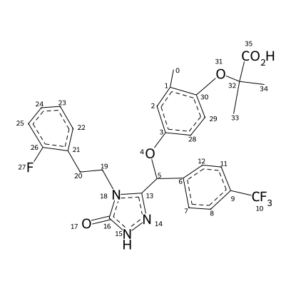 Cc1cc(OC(c2ccc(C(F)(F)F)cc2)c2n[nH]c(=O)n2CCc2ccccc2F)ccc1OC(C)(C)C(=O)O